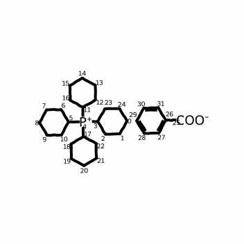 C1CCC([P+](C2CCCCC2)(C2CCCCC2)C2CCCCC2)CC1.O=C([O-])c1ccccc1